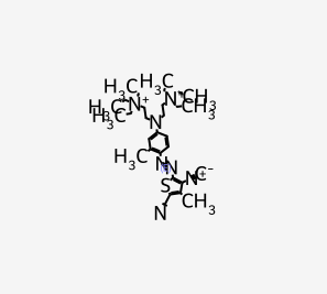 [C-]#[N+]c1c(/N=N/c2ccc(N(CC[N+](CC)(CC)CC)CC[N+](CC)(CC)CC)cc2C)sc(C#N)c1C